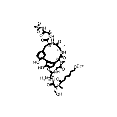 CCCCCCCCCCCCCCCC(=O)N(C)[C@H](CO)C(=O)N[C@H](N)C(=O)NCC(=O)N(C)[C@@H]1C(=O)N[C@@H](C)C(=O)N[C@H](C(=O)N[C@H](C)C(=O)NS(C)(=O)=O)Cc2ccc(O)c(c2)-c2cc1ccc2O